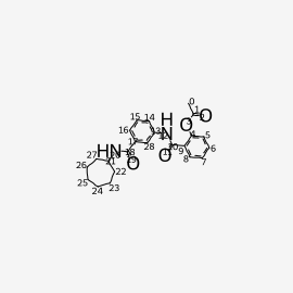 CC(=O)Oc1ccccc1C(=O)Nc1cccc(C(=O)NC2CCCCCC2)c1